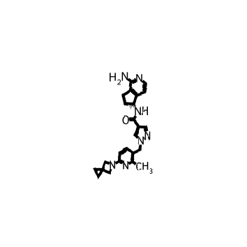 Cc1nc(N2CC3(CC3)C2)ccc1Cn1cc(C(=O)N[C@@H]2CCc3c2ccnc3N)cn1